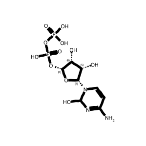 NC1=NC(O)N([C@@H]2O[C@H](OP(=O)(O)OP(=O)(O)O)[C@H](O)[C@@H]2O)C=C1